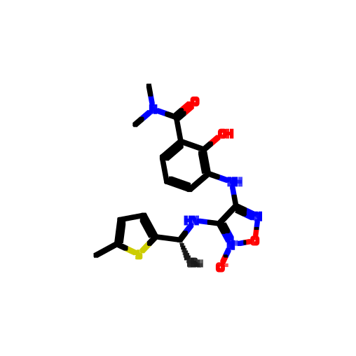 Cc1ccc([C@H](Nc2c(Nc3cccc(C(=O)N(C)C)c3O)no[n+]2[O-])C(C)(C)C)s1